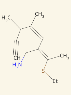 C#CC(C)/C(C)=C\C(CN)=C(/C)SCC